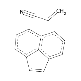 C1=Cc2cccc3cccc1c23.C=CC#N